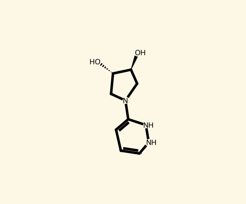 O[C@H]1CN(C2=CC=[C]NN2)C[C@@H]1O